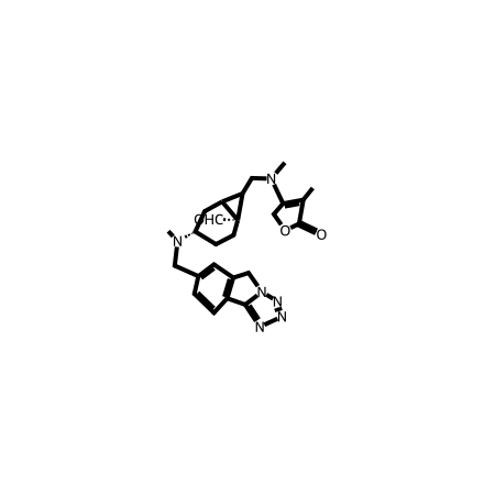 CC1=C(N(C)CC2C3C[C@@H](N(C)Cc4ccc5c(c4)Cn4nnnc4-5)CC[C@@]32C=O)COC1=O